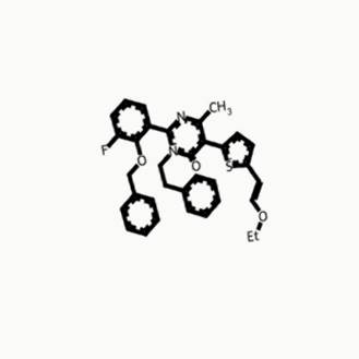 CCOC=Cc1ccc(-c2c(C)nc(-c3cccc(F)c3OCc3ccccc3)n(CCc3ccccc3)c2=O)s1